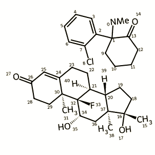 CNC1(c2ccccc2Cl)CCCCC1=O.C[C@]1(O)CC[C@H]2[C@@H]3CCC4=CC(=O)CC[C@]4(C)[C@@]3(F)[C@@H](O)C[C@@]21C